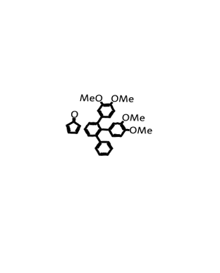 COc1ccc(-c2cccc(-c3ccccc3)c2-c2ccc(OC)c(OC)c2)cc1OC.O=C1C=CC=C1